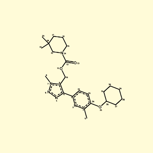 Cc1nc(-c2nnn(C)c2COC(=O)N2CCCC(C)(C)C2)ccc1OC1CCCCC1